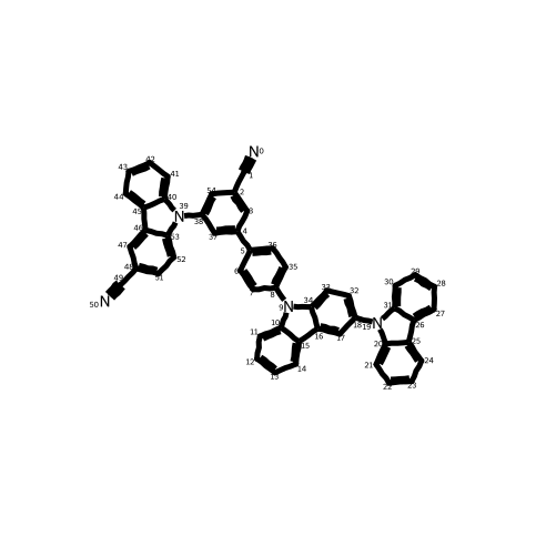 N#Cc1cc(-c2ccc(-n3c4ccccc4c4cc(-n5c6ccccc6c6ccccc65)ccc43)cc2)cc(-n2c3ccccc3c3cc(C#N)ccc32)c1